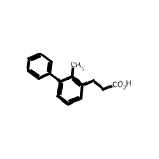 Cc1c(CCC(=O)O)cccc1-c1ccccc1